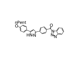 CCCCCOc1ccc(-c2cc(-c3ccc(C(=O)n4nnc5ccccc54)cc3)n[nH]2)cc1